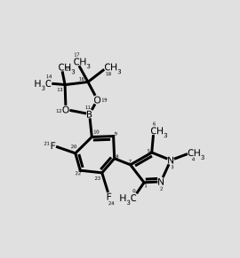 Cc1nn(C)c(C)c1-c1cc(B2OC(C)(C)C(C)(C)O2)c(F)cc1F